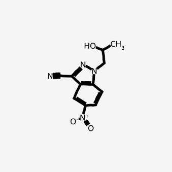 CC(O)Cn1nc(C#N)c2cc([N+](=O)[O-])ccc21